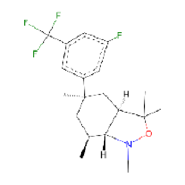 C[C@H]1C[C@@](C)(c2cc(F)cc(C(F)(F)F)c2)C[C@@H]2[C@@H]1N(C)OC2(C)C